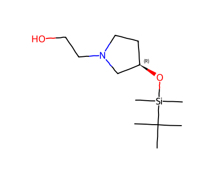 CC(C)(C)[Si](C)(C)O[C@@H]1CCN(CCO)C1